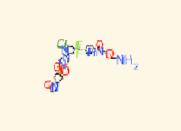 NCCOCCNC(=O)[C@H]1CC[C@H](C(F)(F)c2cc(Cl)nc(N3CCN(S(=O)(=O)c4ccc(N5CCCC5=O)cc4)CC3)c2)CC1